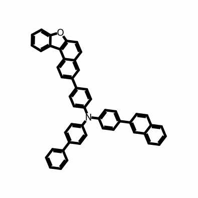 c1ccc(-c2ccc(N(c3ccc(-c4ccc5ccccc5c4)cc3)c3ccc(-c4ccc5c(ccc6oc7ccccc7c65)c4)cc3)cc2)cc1